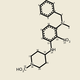 CN(Cc1ccccc1)c1cccc(NC2CCN(C(=O)O)CC2)c1[N+](=O)[O-]